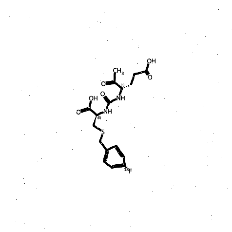 CC(=O)[C@H](CCC(=O)O)NC(=O)N[C@@H](CSCc1ccc([18F])cc1)C(=O)O